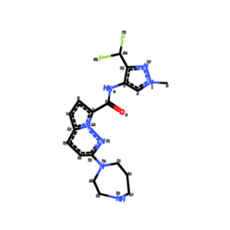 Cn1cc(NC(=O)c2ccc3ccc(N4CCCNCC4)nn23)c(C(F)F)n1